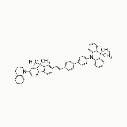 CC1(C)c2cc(/C=C/c3ccc(-c4ccc(N5c6ccccc6C(C)(C)c6ccccc65)cc4)cc3)ccc2-c2ccc(N3CCCc4ccccc43)cc21